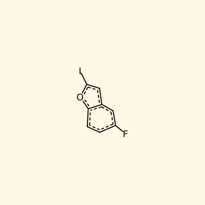 Fc1ccc2oc(I)cc2c1